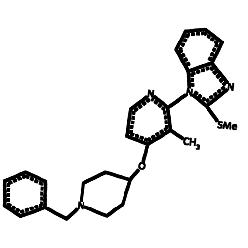 CSc1nc2ccccc2n1-c1nccc(OC2CCN(Cc3ccccc3)CC2)c1C